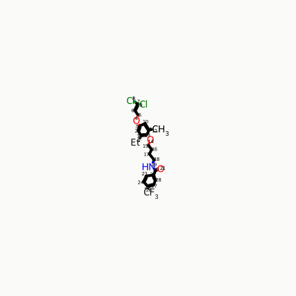 CCc1cc(OCC=C(Cl)Cl)cc(C)c1OCCCCNC(=O)c1ccc(C(F)(F)F)cc1